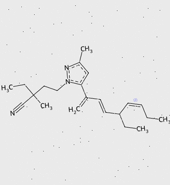 C=C(C=CC(/C=C\CC)CC)c1cc(C)nn1CCC(C)(C#N)CC